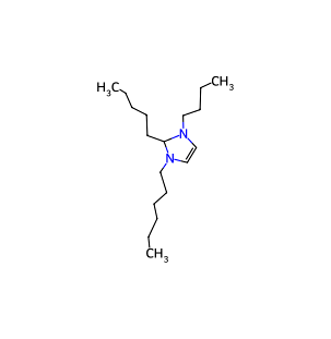 CCCCCCN1C=CN(CCCC)C1CCCCC